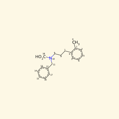 Cc1ccccc1CCCN(Cc1ccccc1)C(=O)O